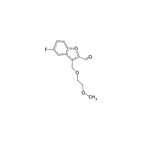 COCCOCc1c(C=O)oc2ccc(F)cc12